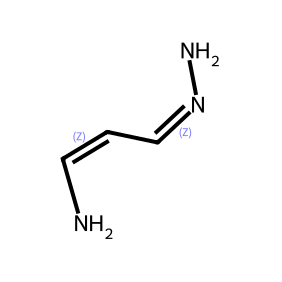 N/C=C\C=N/N